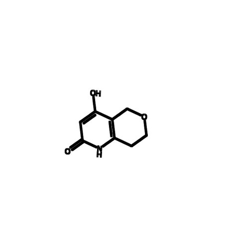 O=c1cc(O)c2c([nH]1)CCOC2